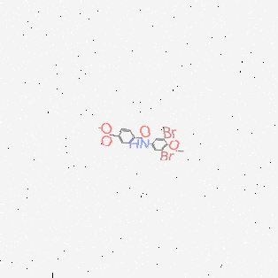 CCOc1c(Br)cc(NC(=O)c2ccc(C(=O)OC)cc2)cc1Br